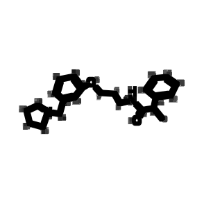 CC(C(=O)NCCCOc1cccc(CN2CCCC2)c1)c1ccccc1